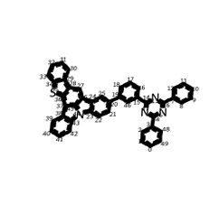 c1ccc(-c2nc(-c3ccccc3)nc(-c3cccc(-c4ccc5c(c4)c4cc6c7ccccc7sc6c6c7ccccc7n5c46)c3)n2)cc1